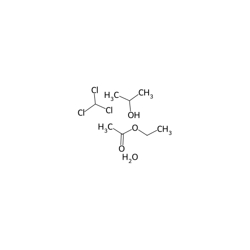 CC(C)O.CCOC(C)=O.ClC(Cl)Cl.O